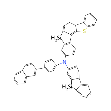 C1=C2[SiH2]c3cc(N(c4ccc(-c5ccc6ccccc6c5)cc4)c4ccc5c(c4)[SiH2]c4ccccc4-5)ccc3C2=C2Sc3ccccc3C2C1